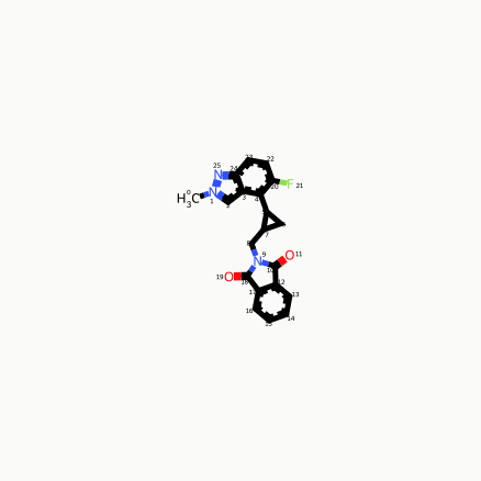 Cn1cc2c(C3CC3CN3C(=O)c4ccccc4C3=O)c(F)ccc2n1